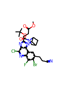 COC(=O)CCc1nc2c(Cl)nc3c(F)c(Br)c(CCC#N)cc3c2n1C1C2CC1N(C(=O)OC(C)(C)C)C2